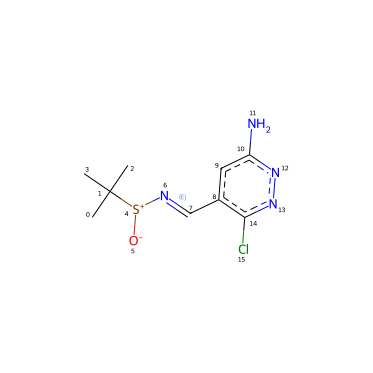 CC(C)(C)[S+]([O-])/N=C/c1cc(N)nnc1Cl